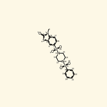 Cn1c(=O)sc2cc(S(=O)(=O)N3CCN(S(=O)(=O)c4ccccc4)CC3)ccc21